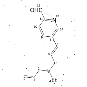 C=CCC(CC)CC=Cc1ccc(C=O)nc1